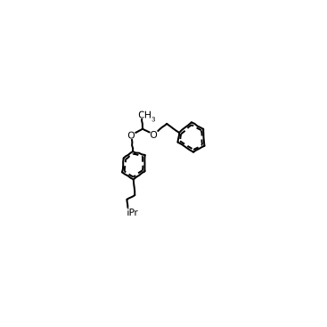 CC(C)CCc1ccc(OC(C)OCc2ccccc2)cc1